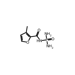 Cc1ccoc1C(=O)NP(N)(N)=O